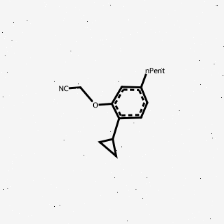 CCCCCc1ccc(C2CC2)c(OCC#N)c1